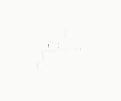 CC(C)CCC[C@@H](C)CC(OCC(F)(F)F)OCC(F)(F)F